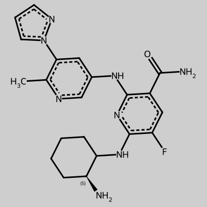 Cc1ncc(Nc2nc(NC3CCCC[C@@H]3N)c(F)cc2C(N)=O)cc1-n1cccn1